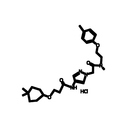 Cc1ccc(OCCN(C)C(=O)Cn2cc(NC(=O)CCOC3CCC(C)(C)CC3)cn2)cc1.Cl